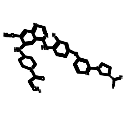 C=CC(=O)N1CCC(Nc2cc3c(Nc4ccc(Oc5ccnc(N6CC[C@H](C(F)F)C6)c5)cc4F)ncnc3cc2OC)CC1